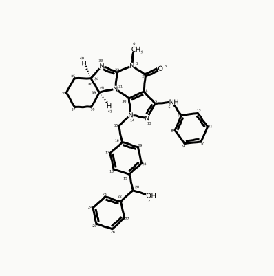 CN1C(=O)c2c(Nc3ccccc3)nn(Cc3ccc(C(O)c4ccccc4)cc3)c2N2C1=N[C@@H]1CCCC[C@@H]12